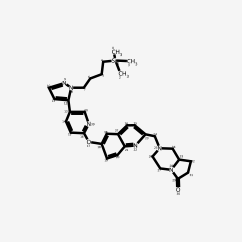 C[Si](C)(C)CCCCn1nccc1-c1ccc(Oc2ccc3nc(CN4CCN5C(=O)CCC5C4)ccc3c2)nc1